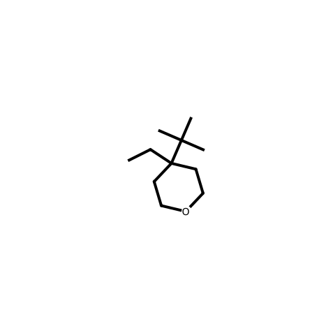 CCC1(C(C)(C)C)CCOCC1